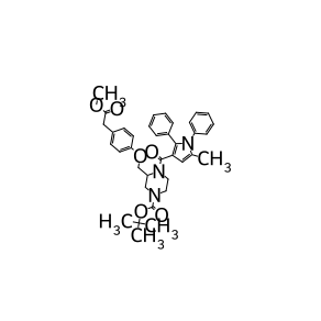 COC(=O)Cc1ccc(OCC2CN(C(=O)OC(C)(C)C)CCN2C(=O)c2cc(C)n(-c3ccccc3)c2-c2ccccc2)cc1